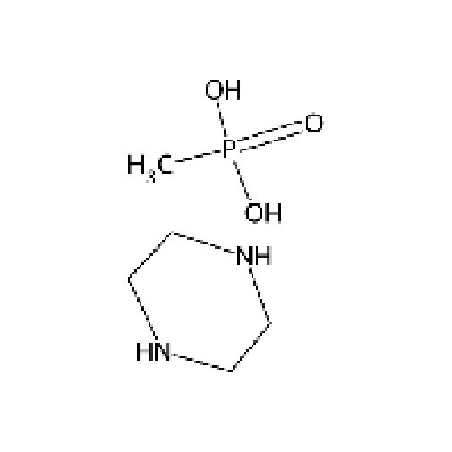 C1CNCCN1.CP(=O)(O)O